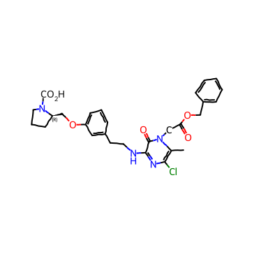 Cc1c(Cl)nc(NCCc2cccc(OC[C@H]3CCCN3C(=O)O)c2)c(=O)n1CC(=O)OCc1ccccc1